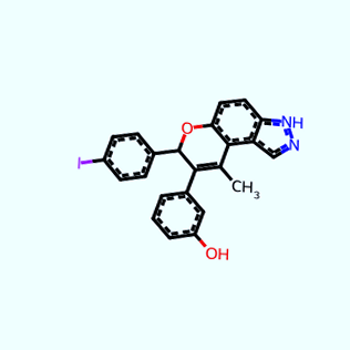 CC1=C(c2cccc(O)c2)C(c2ccc(I)cc2)Oc2ccc3[nH]ncc3c21